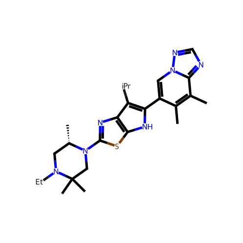 CCN1C[C@H](C)N(c2nc3c(C(C)C)c(-c4cn5ncnc5c(C)c4C)[nH]c3s2)CC1(C)C